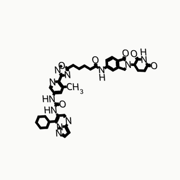 Cc1cc(NC(=O)Nc2cnc3ccnn3c2C2CCCCC2)cnc1-c1noc(CCCCC(=O)Nc2ccc3c(c2)CN(C2CCC(=O)NC2=O)C3=O)n1